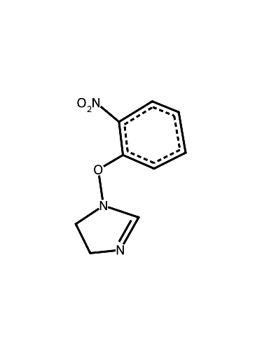 O=[N+]([O-])c1ccccc1ON1C=NCC1